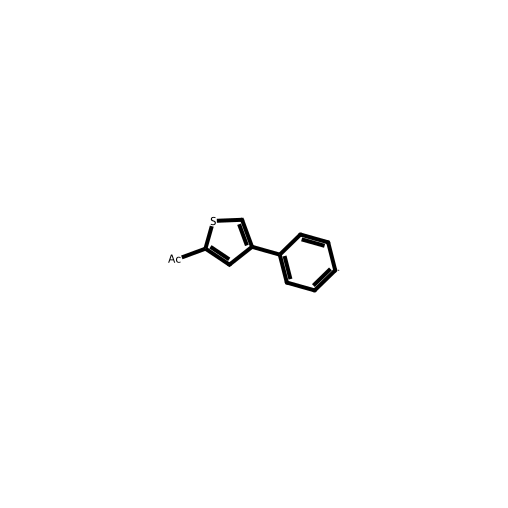 CC(=O)c1cc(-c2cc[c]cc2)cs1